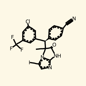 CC1([C@H](c2ccc(C#N)cc2)c2cc(Cl)cc(C(F)(F)F)c2)C(=O)Nc2ncc(I)n21